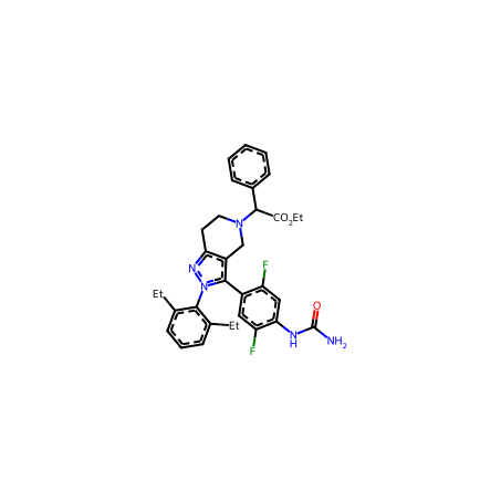 CCOC(=O)C(c1ccccc1)N1CCc2nn(-c3c(CC)cccc3CC)c(-c3cc(F)c(NC(N)=O)cc3F)c2C1